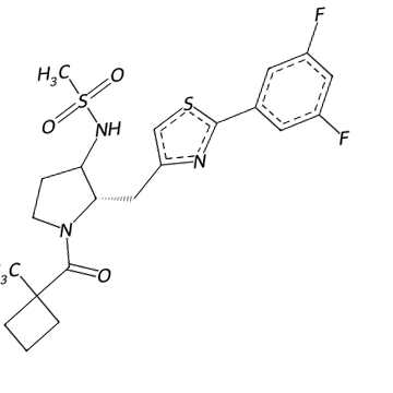 CC1(C(=O)N2CCC(NS(C)(=O)=O)[C@@H]2Cc2csc(-c3cc(F)cc(F)c3)n2)CCC1